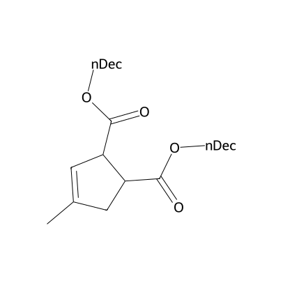 CCCCCCCCCCOC(=O)C1C=C(C)CC1C(=O)OCCCCCCCCCC